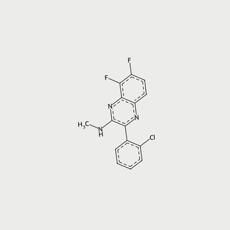 CNc1nc2c(F)c(F)ccc2nc1-c1ccccc1Cl